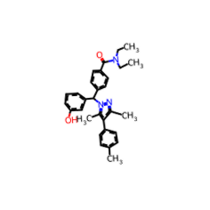 CCN(CC)C(=O)c1ccc(C(c2cccc(O)c2)n2nc(C)c(-c3ccc(C)cc3)c2C)cc1